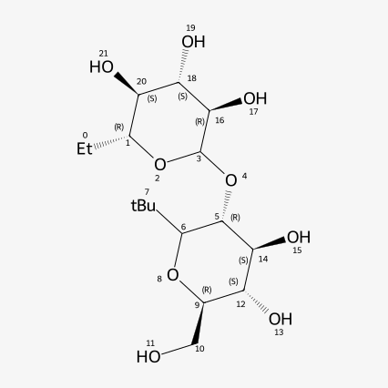 CC[C@H]1OC(O[C@H]2C(C(C)(C)C)O[C@H](CO)[C@@H](O)[C@@H]2O)[C@H](O)[C@@H](O)[C@@H]1O